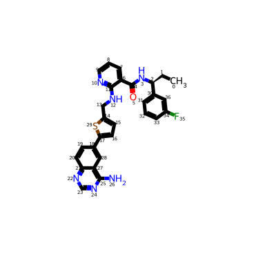 CC[C@H](NC(=O)c1cccnc1NCc1ccc(-c2ccc3ncnc(N)c3c2)s1)c1cccc(F)c1